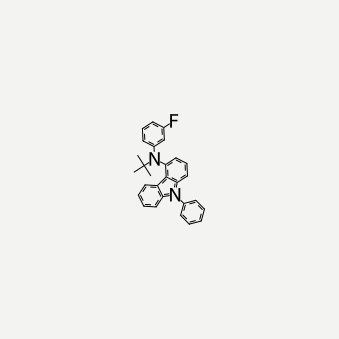 CC(C)(C)N(c1cccc(F)c1)c1cccc2c1c1ccccc1n2-c1ccccc1